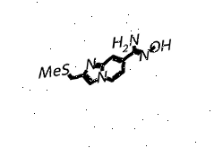 CSCc1cn2ccc(/C(N)=N/O)cc2n1